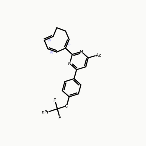 CCCC(F)(F)Oc1ccc(-c2cc(C(C)=O)nc(C3=C/CC/C=C/C=C\3)n2)cc1